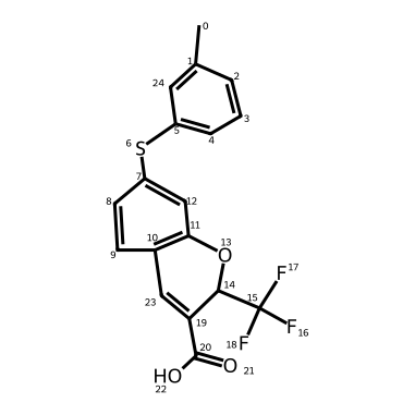 Cc1cccc(Sc2ccc3c(c2)OC(C(F)(F)F)C(C(=O)O)=C3)c1